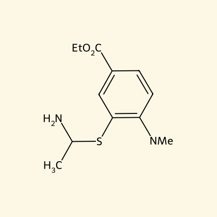 CCOC(=O)c1ccc(NC)c(SC(C)N)c1